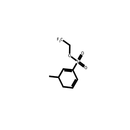 CC1C=C(S(=O)(=O)OCC(F)(F)F)C=CC1